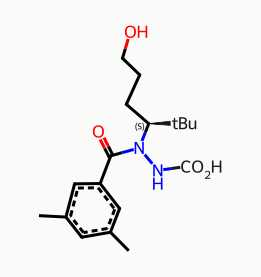 Cc1cc(C)cc(C(=O)N(NC(=O)O)[C@@H](CCCO)C(C)(C)C)c1